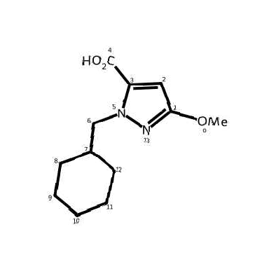 COc1cc(C(=O)O)n(CC2CCCCC2)n1